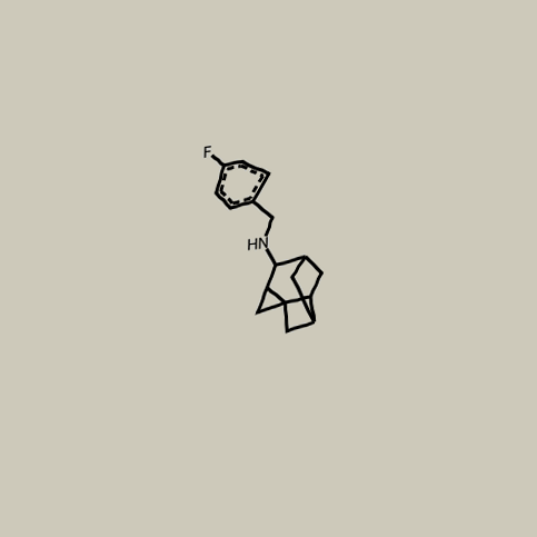 Fc1ccc(CNC2C3CC4CC5(CC25)C4C3)cc1